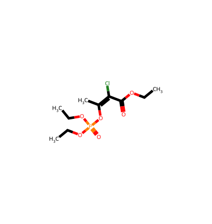 CCOC(=O)C(Cl)=C(C)OP(=O)(OCC)OCC